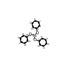 c1ccc(ON(Oc2ccccc2)Oc2ccccc2)cc1